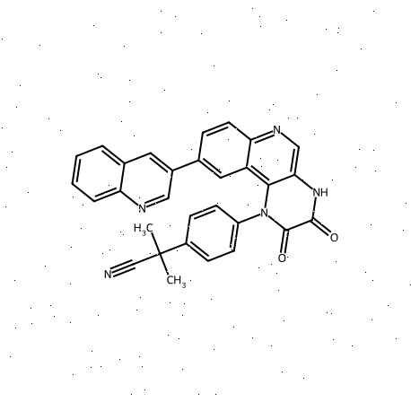 CC(C)(C#N)c1ccc(-n2c(=O)c(=O)[nH]c3cnc4ccc(-c5cnc6ccccc6c5)cc4c32)cc1